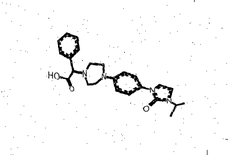 CC(C)n1ccn(-c2ccc(N3CCN(C(C(=O)O)c4ccccc4)CC3)cc2)c1=O